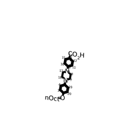 CCCCCCCCOc1ccc(N2CCN(c3ccc(C(=O)O)cc3)CC2)cc1